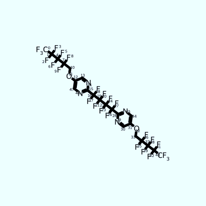 FC(F)(F)C(F)(F)C(F)(F)C(F)(F)COc1cnc(C(F)(F)C(F)(F)C(F)(F)C(F)(F)c2ncc(OCC(F)(F)C(F)(F)C(F)(F)C(F)(F)F)cn2)nc1